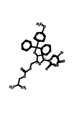 COc1ccc(C(OC2C[C@@H](n3cc(Br)c(=O)[nH]c3=O)O[C@H]2COC(=O)OCC(C)C)(c2ccccc2)c2ccccc2)cc1